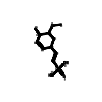 COC1CC(/C=C/P(=O)(O)O)C=CC1C